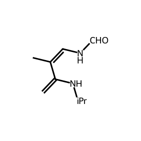 C=C(NC(C)C)/C(C)=C\NC=O